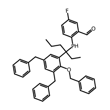 CCCC(CC)(Pc1ccc(F)cc1C=O)c1cc(Cc2ccccc2)cc(Cc2ccccc2)c1OCc1ccccc1